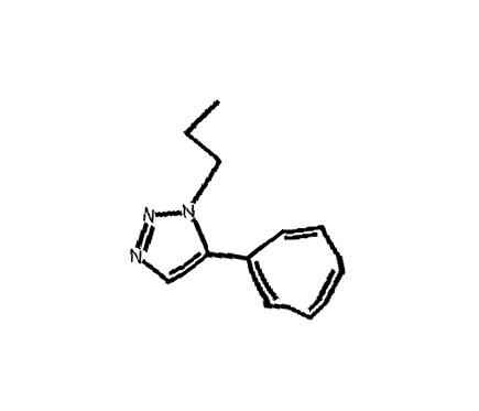 CCCn1nncc1-c1ccccc1